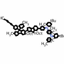 C#CC#CC#Cc1ccc(C2(c3ccc(C)cc3)c3cc(C)ccc3-c3ccc(-c4ccc5c(c4)C(CCCCCCCC)(CCCCCCCC)c4cc(-c6ccc(N(c7ccc(N(c8ccc(C)cc8)c8c(C)cc(C(C)(C)C)cc8C)cc7)c7c(C)cc(C(C)(C)C)cc7C)cc6)ccc4-5)cc32)cc1